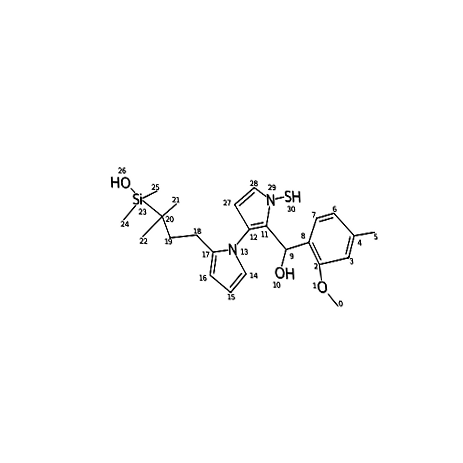 COc1cc(C)ccc1C(O)c1c(-n2cccc2CCC(C)(C)[Si](C)(C)O)ccn1S